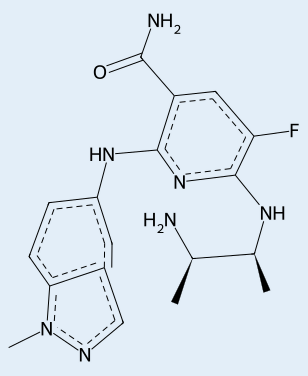 C[C@H](Nc1nc(Nc2ccc3c(cnn3C)c2)c(C(N)=O)cc1F)[C@@H](C)N